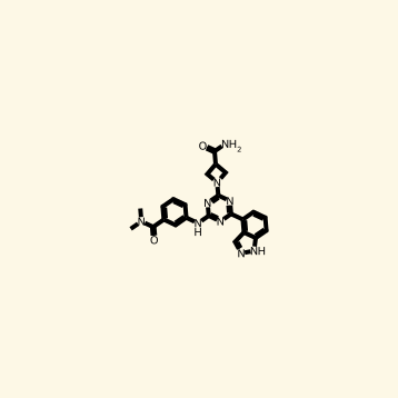 CN(C)C(=O)c1cccc(Nc2nc(-c3cccc4[nH]ncc34)nc(N3CC(C(N)=O)C3)n2)c1